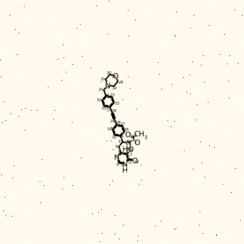 CS(=O)(=O)NC(Cc1nc[nH]c(=O)c1O)c1ccc(C#Cc2ccc(CN3CCOCC3)cc2)cc1